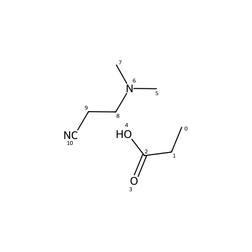 CCC(=O)O.CN(C)CCC#N